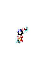 O=S(=O)(Oc1ccnc(OC(F)(F)F)c1)C(F)(F)F